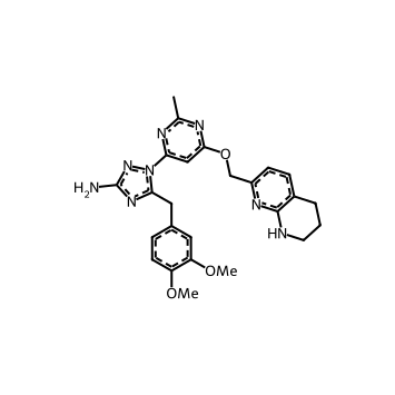 COc1ccc(Cc2nc(N)nn2-c2cc(OCc3ccc4c(n3)NCCC4)nc(C)n2)cc1OC